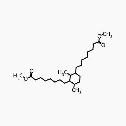 COC(=O)CCCCCCCC1CCC(C)C(CCCCCCCC(=O)OC)C1C